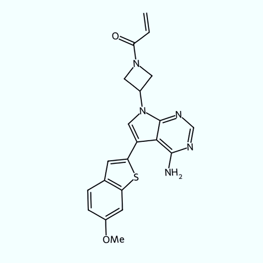 C=CC(=O)N1CC(n2cc(-c3cc4ccc(OC)cc4s3)c3c(N)ncnc32)C1